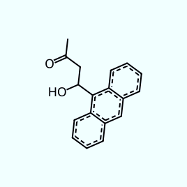 CC(=O)CC(O)c1c2ccccc2cc2ccccc12